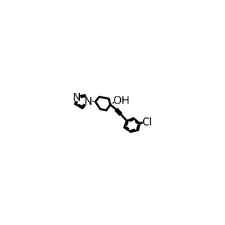 O[C@]1(C#Cc2cccc(Cl)c2)CC[C@H](n2ccnc2)CC1